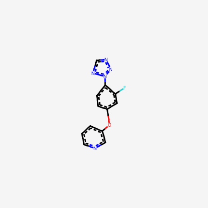 Fc1cc(Oc2cccnc2)ccc1-n1n[c]nn1